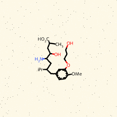 COc1ccc(CC(CC(N)C(O)CC(C)C(=O)O)C(C)C)cc1OCCCO